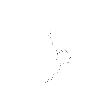 C=CCOC1=CN=CN(OCC=C)C1